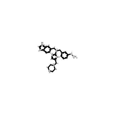 COc1cccc(CN(Cc2ccc3nc[nH]c3c2)c2nc(CN3CCOCC3)cs2)c1